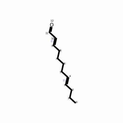 CCC/C=C/CCCC/C=C/C=O